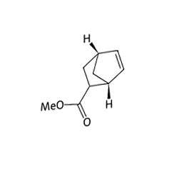 COC(=O)C1C[C@@H]2C=C[C@H]1C2